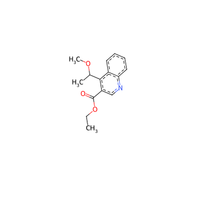 CCOC(=O)c1cnc2ccccc2c1C(C)OC